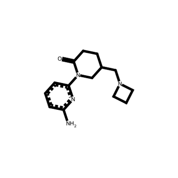 Nc1cccc(N2CC(CN3CCC3)CCC2=O)n1